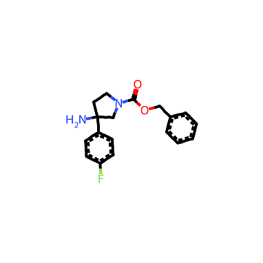 NC1(c2ccc(F)cc2)CCN(C(=O)OCc2ccccc2)C1